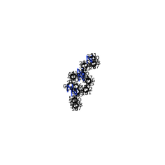 Cc1ccc2ccc3c(-c4cccc(-c5cccc(-c6cc(C7C=C(c8cccc9cccnc89)C=CC7)nc(-c7ccccc7)n6)c5)c4)cc(-c4ccc5ccccc5c4)nc3c2n1